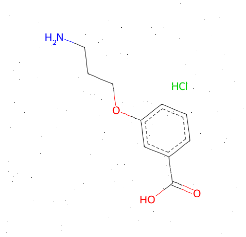 Cl.NCCCOc1cccc(C(=O)O)c1